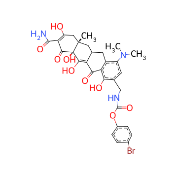 CN(C)c1cc(CNC(=O)Oc2ccc(Br)cc2)c(O)c2c1CC1C[C@@]3(C)CC(O)=C(C(N)=O)C(=O)[C@@]3(O)C(O)=C1C2=O